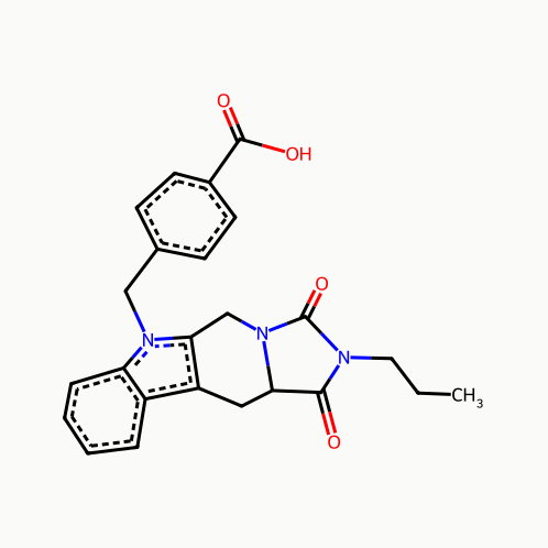 CCCN1C(=O)C2Cc3c(n(Cc4ccc(C(=O)O)cc4)c4ccccc34)CN2C1=O